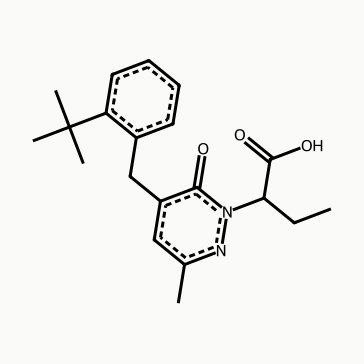 CCC(C(=O)O)n1nc(C)cc(Cc2ccccc2C(C)(C)C)c1=O